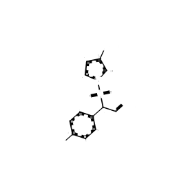 C=CC(c1ccc(C)cc1)S(=O)(=O)n1ccc(C(=O)O)c1